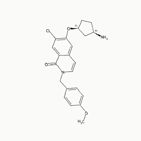 COc1ccc(Cn2ccc3cc(O[C@H]4CC[C@@H](N)C4)c(Cl)cc3c2=O)cc1